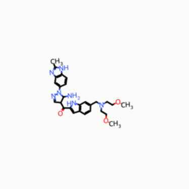 COCCN(CCOC)Cc1ccc2cc(C(=O)C3C=NN(c4ccc5[nH]c(C)nc5c4)C3N)[nH]c2c1